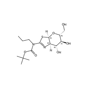 CCCN(C(=O)OC(C)(C)C)C1=N[C@@H]2[C@@H](O)[C@H](O)[C@@H](CO)O[C@@H]2S1